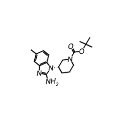 Cc1ccc2c(c1)nc(N)n2[C@H]1CCCN(C(=O)OC(C)(C)C)C1